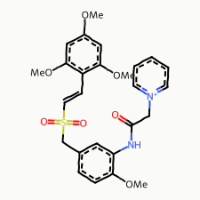 COc1cc(OC)c(C=CS(=O)(=O)Cc2ccc(OC)c(NC(=O)C[n+]3ccccc3)c2)c(OC)c1